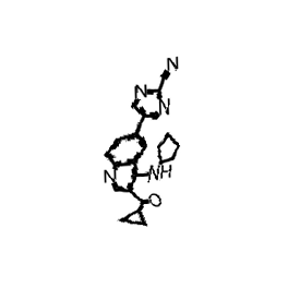 N#Cc1ncc(-c2ccc3ncc(C(=O)C4CC4)c(NC4CCCC4)c3c2)cn1